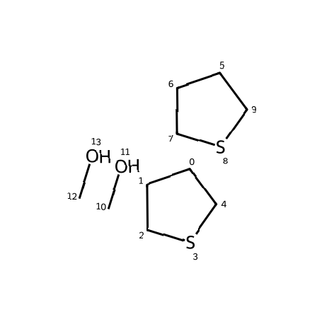 C1CCSC1.C1CCSC1.CO.CO